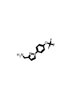 NCc1ccn(-c2ccc(OC(F)(F)F)cc2)n1